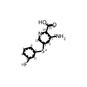 Nc1cc(Sc2cccc(F)c2)cnc1C(=O)O